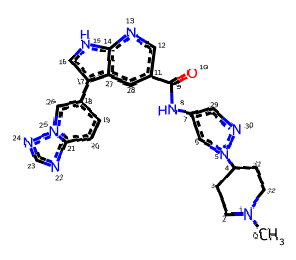 CN1CCC(n2cc(NC(=O)c3cnc4[nH]cc(-c5ccc6ncnn6c5)c4c3)cn2)CC1